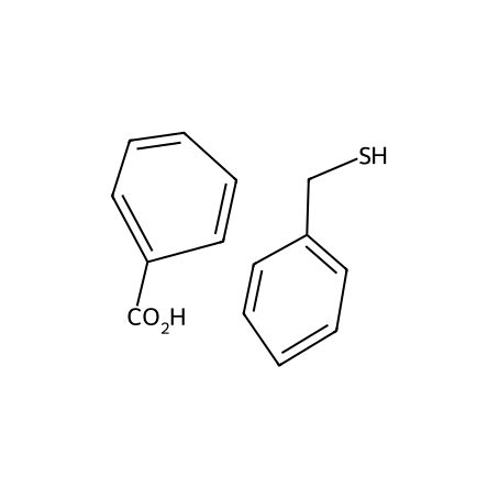 O=C(O)c1ccccc1.SCc1ccccc1